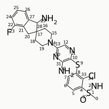 CS(=N)(=O)c1cccc(Sc2ncc(N3CCC4(CC3)Cc3c(F)cccc3C4N)nc2N)c1Cl